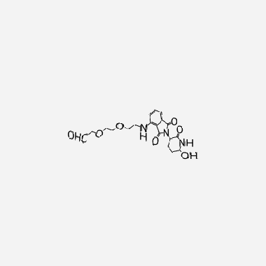 O=CCOCCOCCNc1cccc2c1C(=O)N(C1CCC(O)NC1=O)C2=O